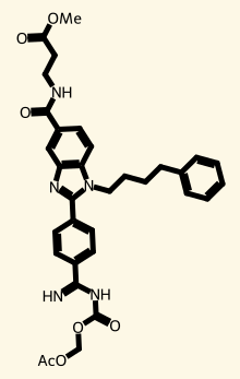 COC(=O)CCNC(=O)c1ccc2c(c1)nc(-c1ccc(C(=N)NC(=O)OCOC(C)=O)cc1)n2CCCCc1ccccc1